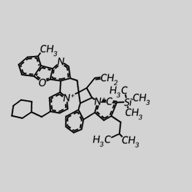 C=CC1C2C(c3ccccc3-c3cc(CC(C)C)c([Si](C)(C)C)c[n+]32)C12Cc1cnc3c(oc4cccc(C)c43)c1-c1cc(CC3CCCCC3)cc[n+]12